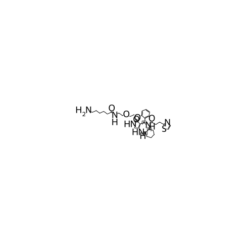 NCCCCCC(=O)NCCOCCOc1ccccc1[C@@H]1C2=C(CNC2=O)N[C@@H]2CCCC[C@H]2N1C(=O)CCc1nccs1